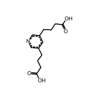 O=C(O)CCCc1cncc(CCCC(=O)O)c1